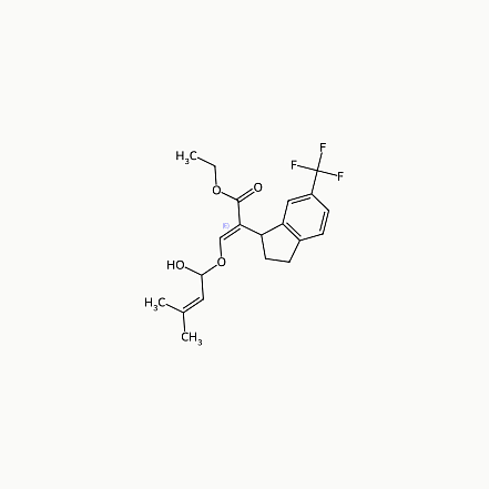 CCOC(=O)/C(=C/OC(O)C=C(C)C)C1CCc2ccc(C(F)(F)F)cc21